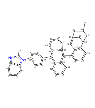 Cc1nc2ccccc2n1-c1ccc(-c2c3ccccc3c(-c3cccc4c3C=C3CC(C)CC4C3)c3ccccc23)cc1